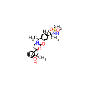 C[C@@H](c1ccc(C(C)(C)NS(C)(=O)=O)cc1)N1CC[C@](CC(C)(C)O)(c2ccccc2)OC1=O